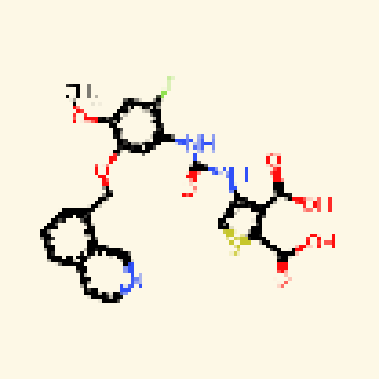 COc1cc(F)c(NC(=O)Nc2csc(C(=O)O)c2C(=O)O)cc1OCc1cccc2ccncc12